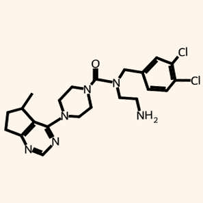 CC1CCc2ncnc(N3CCN(C(=O)N(CCN)Cc4ccc(Cl)c(Cl)c4)CC3)c21